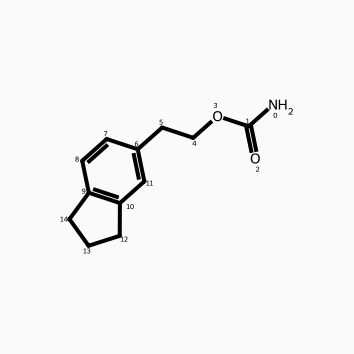 NC(=O)OCCc1ccc2c(c1)CCC2